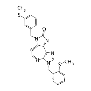 CSc1cccc(Cn2c3ncnc4c(ncn4Cc4ccccc4SC)c-3nc2=O)c1